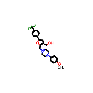 COc1ccc(N2CCN(Cc3oc(-c4ccc(C(F)(F)F)cc4)cc3CO)CC2)cc1